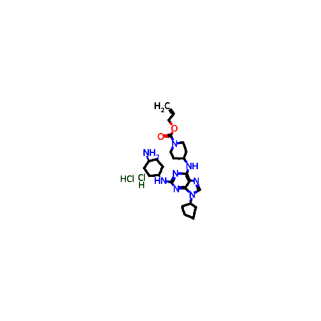 C=CCOC(=O)N1CCC(Nc2nc(N[C@H]3CC[C@H](N)CC3)nc3c2ncn3C2CCCC2)CC1.Cl.Cl